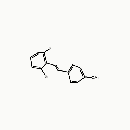 COc1ccc(/C=C/c2c(Br)cccc2Br)cc1